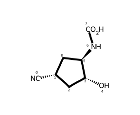 N#C[C@H]1C[C@@H](O)[C@H](NC(=O)O)C1